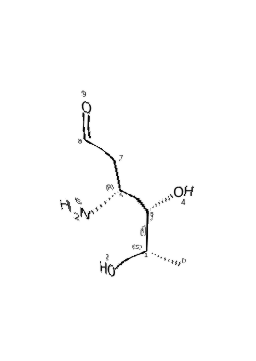 C[C@H](O)[C@@H](O)[C@H](N)CC=O